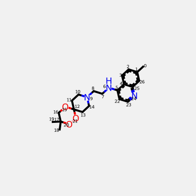 Cc1ccc2c(NCCN3CCC4(CC3)OCC(C)(C)OO4)ccnc2c1